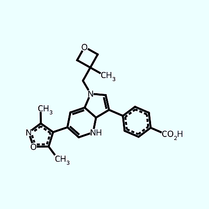 Cc1noc(C)c1C1=CNC2C(c3ccc(C(=O)O)cc3)=CN(CC3(C)COC3)C2=C1